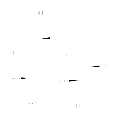 O=C[C@H](O)[C@@H](O)[C@@H](O)[C@H](O)CO.OC[C@@H](O)[C@@H](O)[C@H](O)[C@H](O)CO